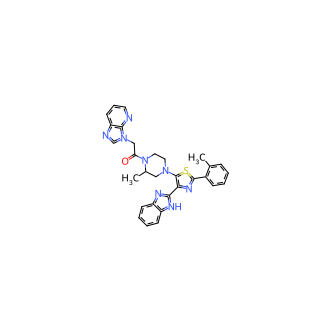 Cc1ccccc1-c1nc(-c2nc3ccccc3[nH]2)c(N2CCN(C(=O)Cn3cnc4cccnc43)C(C)C2)s1